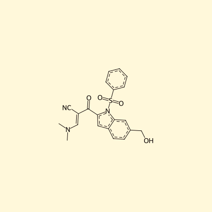 CN(C)C=C(C#N)C(=O)c1cc2ccc(CO)cc2n1S(=O)(=O)c1ccccc1